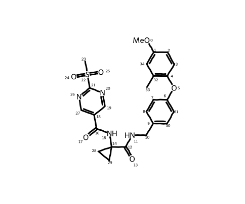 COc1ccc(Oc2ccc(CNC(=O)C3(NC(=O)c4cnc(S(C)(=O)=O)nc4)CC3)cc2)c(C)c1